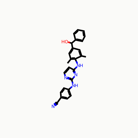 Cc1cc(C(O)c2ccccc2)cc(C)c1Nc1ccnc(Nc2ccc(C#N)cc2)n1